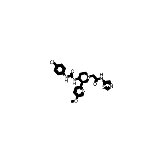 COc1ccc(C2CN(CC(=O)Nc3cncs3)CCC2NC(=O)Nc2ccc(Cl)cc2)nc1